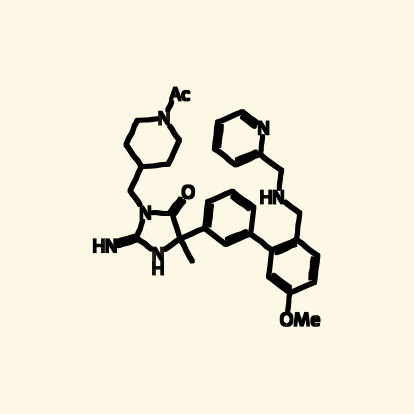 COc1ccc(CNCc2ccccn2)c(-c2cccc(C3(C)NC(=N)N(CC4CCN(C(C)=O)CC4)C3=O)c2)c1